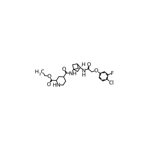 CCOC(=O)C1CC(C(=O)NC23CC(C2)[C@@H](NC(=O)COc2ccc(Cl)c(F)c2)C3)CCN1